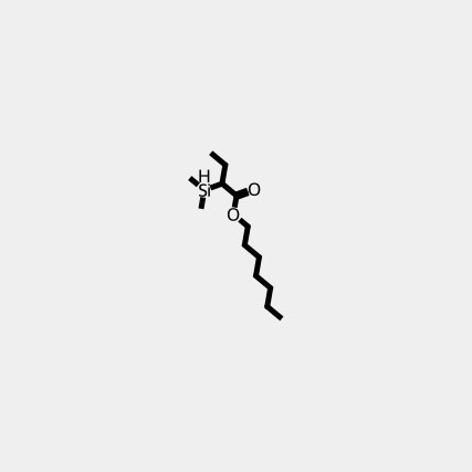 CCCCCCCOC(=O)C(CC)[SiH](C)C